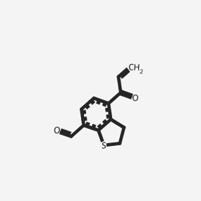 C=CC(=O)c1ccc(C=O)c2c1CCS2